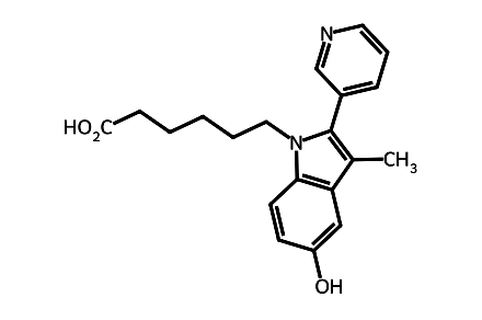 Cc1c(-c2cccnc2)n(CCCCCC(=O)O)c2ccc(O)cc12